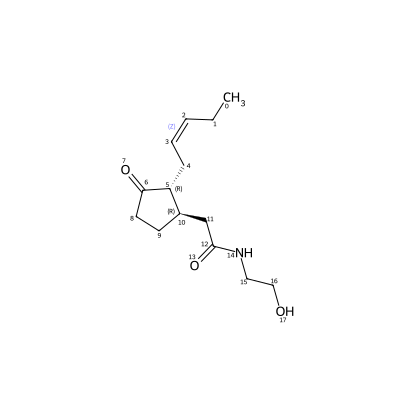 CC/C=C\C[C@H]1C(=O)CC[C@@H]1CC(=O)NCCO